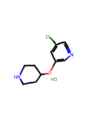 Cl.Clc1cncc(OC2CCNCC2)c1